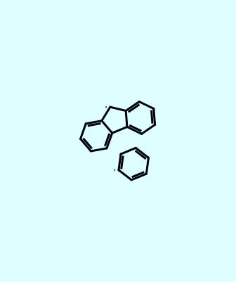 [CH]1c2ccccc2-c2ccccc21.[c]1ccccc1